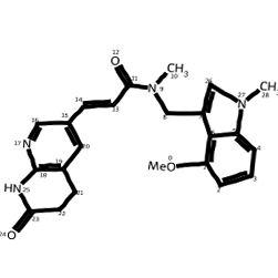 COc1cccc2c1c(CN(C)C(=O)C=Cc1cnc3c(c1)CCC(=O)N3)cn2C